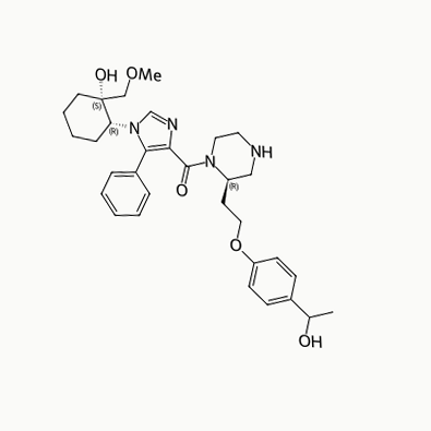 COC[C@]1(O)CCCC[C@H]1n1cnc(C(=O)N2CCNC[C@H]2CCOc2ccc(C(C)O)cc2)c1-c1ccccc1